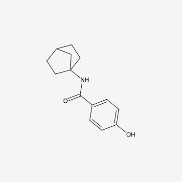 O=C(NC12CCC(CC1)C2)c1ccc(O)cc1